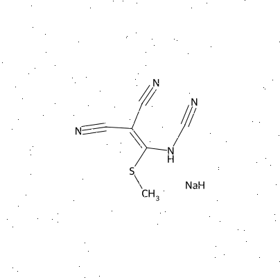 CSC(NC#N)=C(C#N)C#N.[NaH]